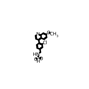 COc1ccc2c(-c3ccc(CN[SH](=O)=O)cc3Cl)ccnc2c1